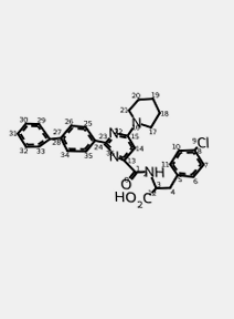 O=C(NC(Cc1ccc(Cl)cc1)C(=O)O)c1cc(N2CCCCC2)nc(-c2ccc(-c3ccccc3)cc2)n1